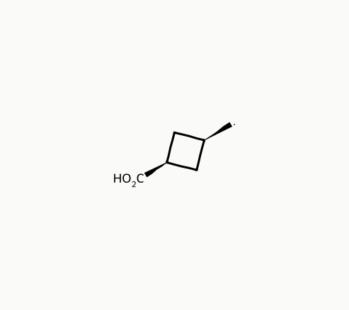 [CH2][C@H]1C[C@@H](C(=O)O)C1